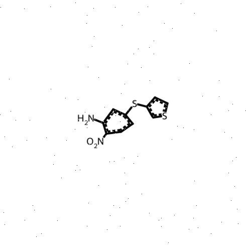 Nc1cc(Sc2ccsc2)ccc1[N+](=O)[O-]